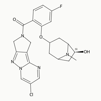 CN1C2CC(Oc3cc(F)ccc3C(=O)N3Cc4nn5cc(Cl)cnc5c4C3)CC1[C@@H](O)C2